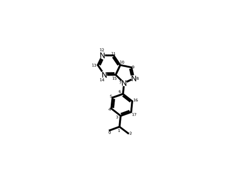 CC(C)c1ccc(-n2ncc3cncnc32)cc1